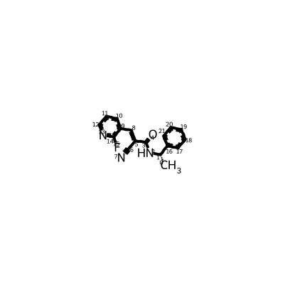 C[C@H](NC(=O)/C(C#N)=C/c1cccnc1F)c1ccccc1